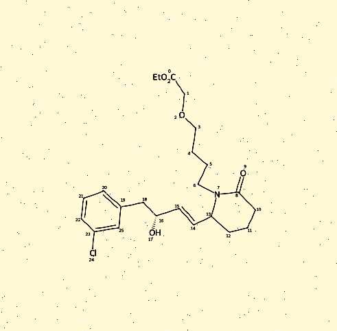 CCOC(=O)COCCCCN1C(=O)CCCC1/C=C/[C@H](O)Cc1cccc(Cl)c1